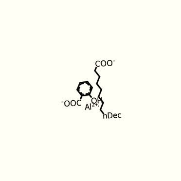 CCCCCCCCCCCCCCCCCC(=O)[O-].O=C([O-])c1ccccc1O.[Al+2]